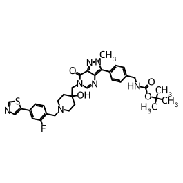 Cn1nc2c(=O)n(CC3(O)CCN(Cc4ccc(-c5cncs5)cc4F)CC3)cnc2c1-c1ccc(CNC(=O)OC(C)(C)C)cc1